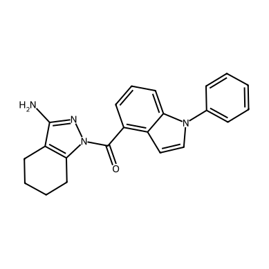 Nc1nn(C(=O)c2cccc3c2ccn3-c2ccccc2)c2c1CCCC2